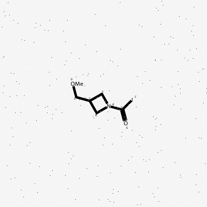 COCC1CN(C(=O)I)C1